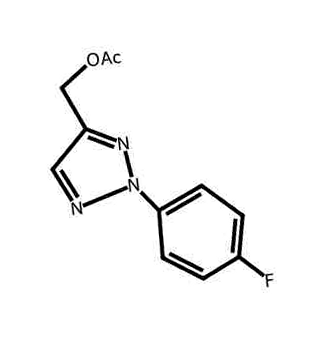 CC(=O)OCc1cnn(-c2ccc(F)cc2)n1